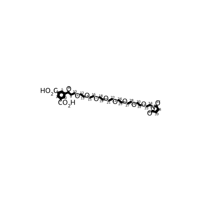 O=C(O)c1cc(C(=O)O)cc(C(=O)CCOCCOCCOCCOCCOCCOCCOCCOCCN2C(=O)C=CC2=O)c1